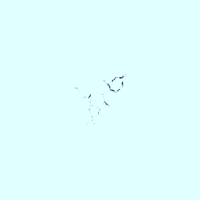 CCOC(=O)C1CC(OC)CN1C(=O)Cc1ccc(C)cc1C